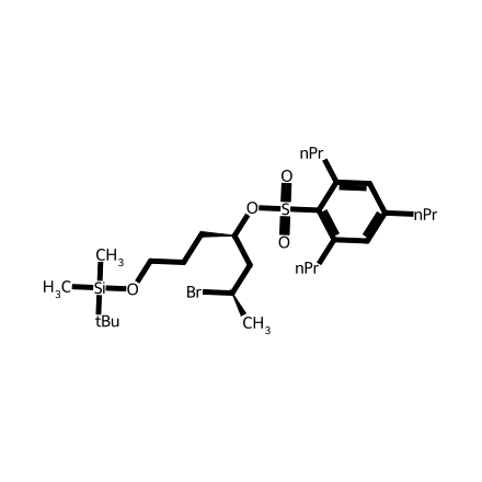 CCCc1cc(CCC)c(S(=O)(=O)O[C@H](CCCO[Si](C)(C)C(C)(C)C)C[C@@H](C)Br)c(CCC)c1